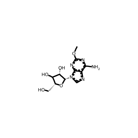 COc1nc(N)c2ncn([C@@H]3O[C@H](CO)C(O)[C@@H]3O)c2n1